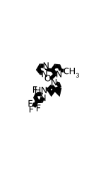 Cc1ccc(-c2ncccn2)c(C(=O)N2CC3CC34CC(Nc3ncc(C(F)(F)F)cc3F)C24)n1